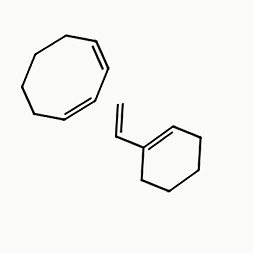 C1=CCCCCC=C1.C=CC1=CCCCC1